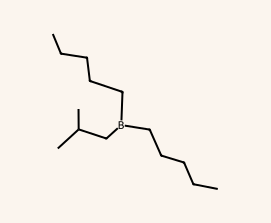 CCCCCB(CCCCC)CC(C)C